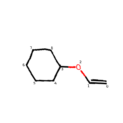 C=CO[C]1CCCCC1